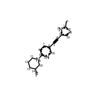 Cc1nc(C#Cc2ccc(N3CCCC(F)C3)nc2)cs1